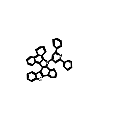 c1ccc(-c2cc(-n3c4c5ccccc5c5ccccc5c4c4c5c6ccccc6sc5c5ccccc5c43)cc(-c3ccccc3)n2)cc1